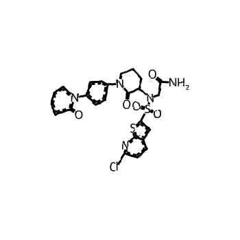 NC(=O)CN(C1CCCN(c2ccc(-n3ccccc3=O)cc2)C1=O)S(=O)(=O)c1cc2ccc(Cl)nc2s1